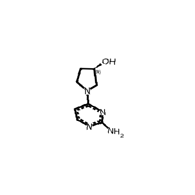 Nc1nccc(N2CC[C@@H](O)C2)n1